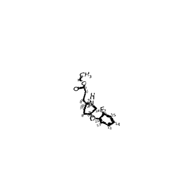 CCOC(=O)CC[C@@H]1C[C@@H](Oc2ccccc2F)CN1